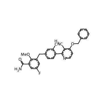 COc1c(Cc2ccc(-c3nccc(OCc4ccccc4)c3C#N)c(C)c2)cc(F)cc1C(N)=O